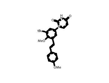 COc1ccc(C=Cc2cc(-n3ccc(=O)[nH]c3=O)cc(C(C)(C)C)c2OC)cc1